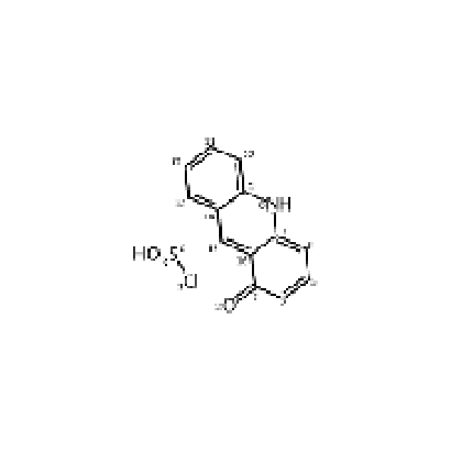 O=S(=O)(O)Cl.O=c1cccc2[nH]c3ccccc3cc1-2